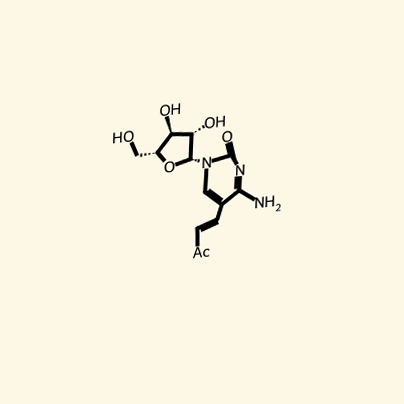 CC(=O)/C=C/c1cn([C@@H]2O[C@H](CO)[C@@H](O)[C@@H]2O)c(=O)nc1N